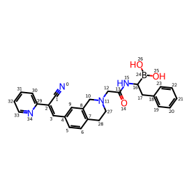 N#CC(=Cc1ccc2c(c1)CN(CC(=O)NC(Cc1ccccc1)B(O)O)CC2)c1ccccn1